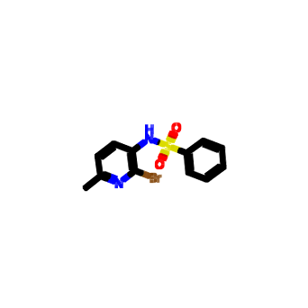 Cc1ccc(NS(=O)(=O)c2ccccc2)c(Br)n1